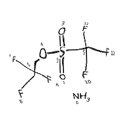 N.O=S(=O)(OC(F)(F)F)C(F)(F)F